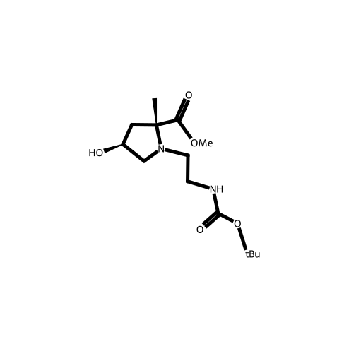 COC(=O)[C@@]1(C)C[C@H](O)CN1CCNC(=O)OC(C)(C)C